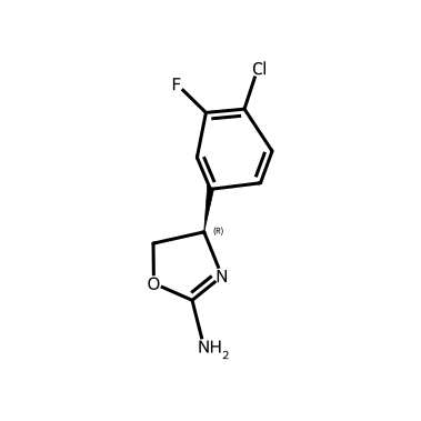 NC1=N[C@H](c2ccc(Cl)c(F)c2)CO1